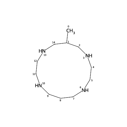 CC1CNCCNCCCNCCNC1